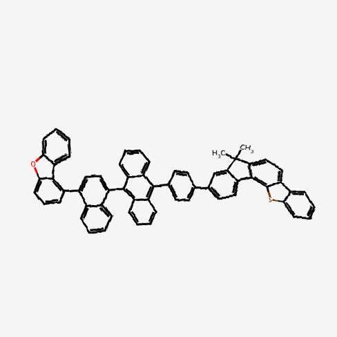 CC1(C)c2cc(-c3ccc(-c4c5ccccc5c(-c5ccc(-c6cccc7oc8ccccc8c67)c6ccccc56)c5ccccc45)cc3)ccc2-c2c1ccc1c2sc2ccccc21